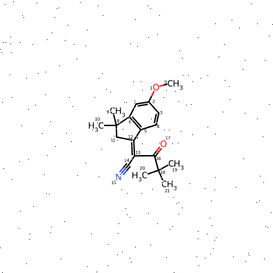 COc1ccc2c(c1)C(C)(C)CC2=C(C#N)C(=O)C(C)(C)C